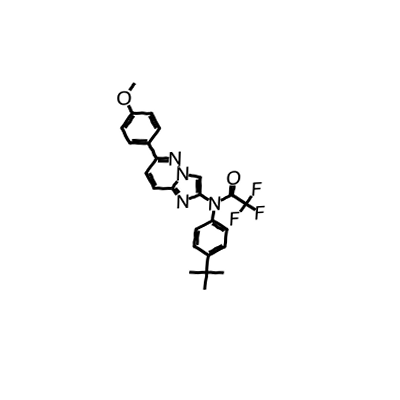 COc1ccc(-c2ccc3nc(N(C(=O)C(F)(F)F)c4ccc(C(C)(C)C)cc4)cn3n2)cc1